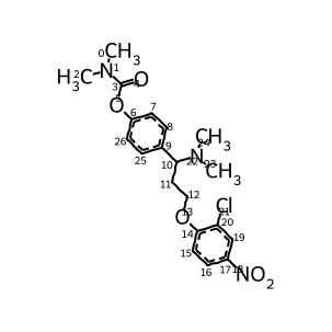 CN(C)C(=O)Oc1ccc(C(CCOc2ccc([N+](=O)[O-])cc2Cl)N(C)C)cc1